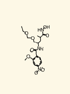 CCOCOCC(CC(C)C(=O)NO)NC(=O)c1ccc([N+](=O)[O-])cc1OC